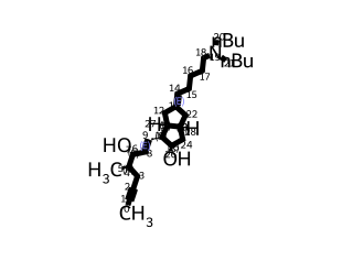 CC#CC[C@@H](C)[C@H](O)/C=C/[C@@H]1[C@H]2C/C(=C/CCCCN(CCCC)CCCC)C[C@H]2C[C@H]1O